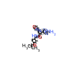 CC(C)=CC(=O)c1ccc(CCNC(=O)c2cc(-c3cnc(N)nc3)nc(N3CCOCC3)c2)cc1